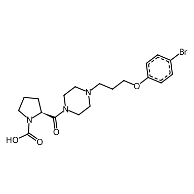 O=C([C@@H]1CCCN1C(=O)O)N1CCN(CCCOc2ccc(Br)cc2)CC1